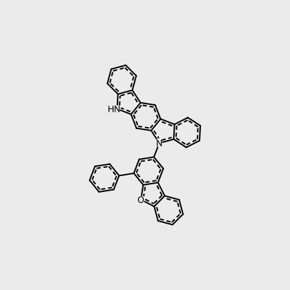 c1ccc(-c2cc(-n3c4ccccc4c4cc5c(cc43)[nH]c3ccccc35)cc3c2oc2ccccc23)cc1